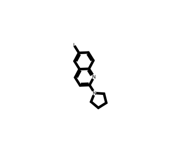 Ic1ccc2nc(N3CCCC3)ccc2c1